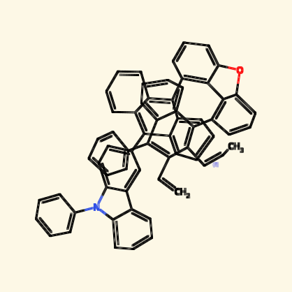 C=Cc1c(/C=C\C)c(-c2cccc3oc4cccc(-c5c6ccccc6c(-c6ccc7c(c6)c6ccccc6n7-c6ccccc6)c6ccccc56)c4c23)c2ccccc2c1-c1ccccc1